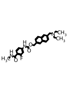 CCN(CC)Cc1ccc2cc(COC(=O)Nc3ccc(C(=O)NC)c(F)c3)ccc2c1